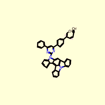 C#C/C=C\C(=C/C)c1ccc(-c2cc(-c3ccccc3)nc(-n3c4ccccc4c4c5c6ccccc6n6c7ccccc7c(cc43)c56)n2)cc1